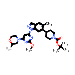 COc1nc(N2CCOC(C)C2)cc(-n2ncc3cc(C)c(C4CCN(C(=O)OC(C)(C)C)CC4)cc32)n1